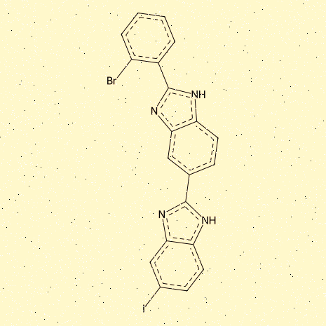 Brc1ccccc1-c1nc2cc(-c3nc4cc(I)ccc4[nH]3)ccc2[nH]1